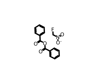 O=C(OC(=O)c1ccccc1)c1ccccc1.O=[N+]([O-])CF